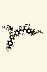 CCC(F)(F)OC[C@@H]1CC(c2ccc(C(F)(F)F)cc2)CN1c1ncc(C(=O)N[C@@H](CO)c2ccc(S(=O)(=O)CC)cc2)cn1